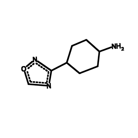 NC1CCC(c2ncon2)CC1